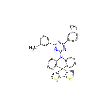 Cc1cccc(-c2nc(-c3cccc(C)c3)nc(N3c4ccccc4C4(c5ccccc53)c3ccsc3-c3sccc34)n2)c1